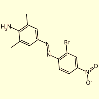 Cc1cc(/N=N/c2ccc([N+](=O)[O-])cc2Br)cc(C)c1N